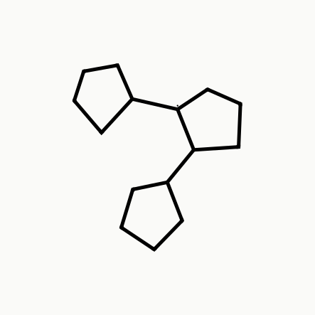 C1CCC([C]2CCCC2C2CCCC2)C1